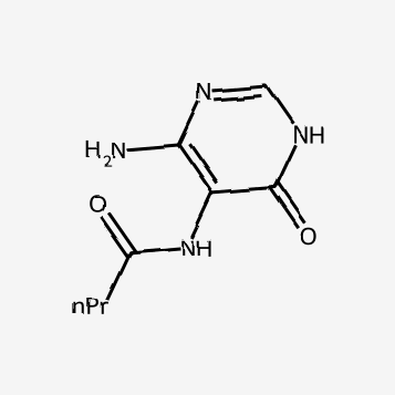 CCCC(=O)Nc1c(N)nc[nH]c1=O